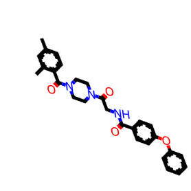 Cc1ccc(C(=O)N2CCN(C(=O)CNC(=O)c3ccc(Oc4ccccc4)cc3)CC2)c(C)c1